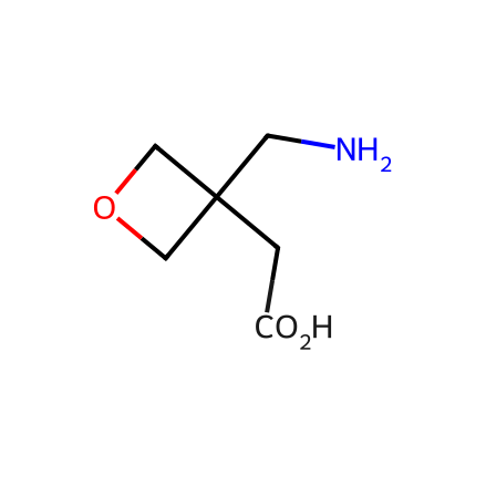 NCC1(CC(=O)O)COC1